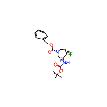 CC(C)(C)OC(=O)N[C@H]1CN(C(=O)OCc2ccccc2)CC[C@H]1F